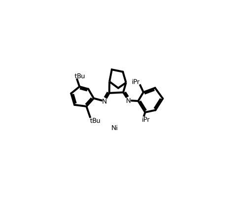 CC(C)c1cccc(C(C)C)c1N=C1C(=Nc2cc(C(C)(C)C)ccc2C(C)(C)C)C2CCC1C2.[Ni]